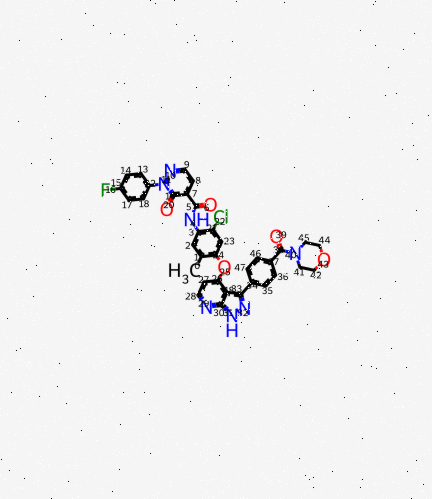 Cc1cc(NC(=O)c2ccnn(-c3ccc(F)cc3)c2=O)c(Cl)cc1Oc1ccnc2[nH]nc(-c3ccc(C(=O)N4CCOCC4)cc3)c12